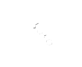 C=C(C(=O)O[C@H](C)C[C@H](C)C(=O)OC1CSCCO1)C(F)(F)F